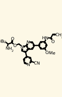 C=CC(=O)Nc1cc(OC)cc(-c2cnc3c(c2)c(-c2ccnc(C#N)c2)cn3COC(=O)C(N)C(C)CC)c1